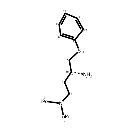 CCCN(CCC)CC[C@@H](N)CSc1ccccc1